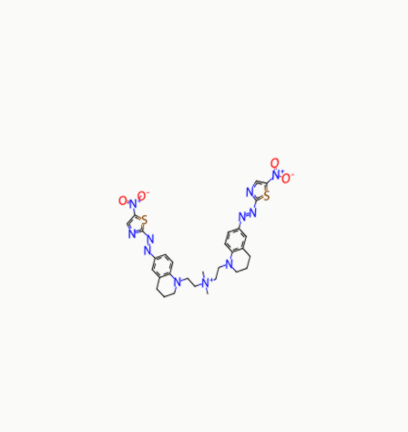 C[N+](C)(CCN1CCCc2cc(N=Nc3ncc([N+](=O)[O-])s3)ccc21)CCN1CCCc2cc(N=Nc3ncc([N+](=O)[O-])s3)ccc21